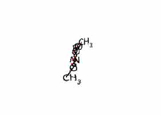 CCCCCCCCOc1ccc(-c2cnc(-c3ccc(C(=O)OC(CC(=O)OCCC)C(F)(F)F)cc3)nc2)cc1